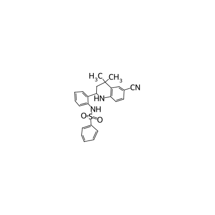 CC1(C)CC(c2ccccc2NS(=O)(=O)c2ccccc2)Nc2ccc(C#N)cc21